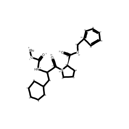 CC(C)(C)OC(=O)NC(CC1CCCCC1)C(=O)N1CCC[C@@H]1C(=O)OCc1ccccc1